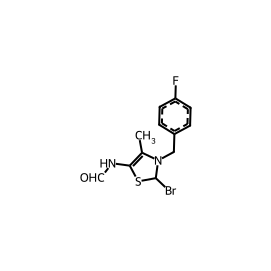 CC1=C(NC=O)SC(Br)N1Cc1ccc(F)cc1